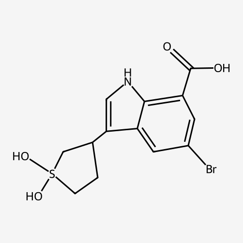 O=C(O)c1cc(Br)cc2c(C3CCS(O)(O)C3)c[nH]c12